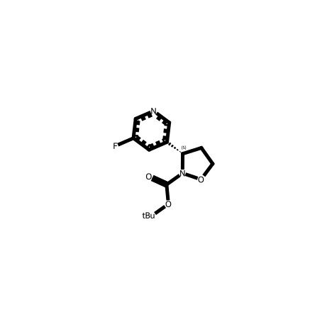 CC(C)(C)OC(=O)N1OCC[C@H]1c1cncc(F)c1